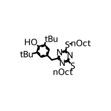 CCCCCCCCSc1nc(Cc2cc(C(C)(C)C)c(O)c(C(C)(C)C)c2)nc(SCCCCCCCC)n1